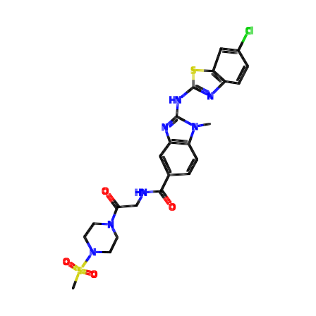 Cn1c(Nc2nc3ccc(Cl)cc3s2)nc2cc(C(=O)NCC(=O)N3CCN(S(C)(=O)=O)CC3)ccc21